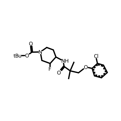 CC(C)(C)OC(=O)N1CCC(NC(=O)C(C)(C)COc2ccccc2Cl)C(F)C1